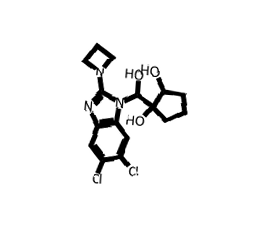 OC1CCCC1(O)C(O)n1c(N2CCC2)nc2cc(Cl)c(Cl)cc21